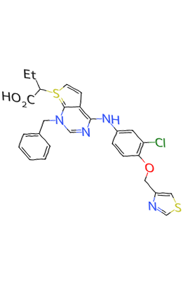 CCC(C(=O)O)S1=C2C(=C(Nc3ccc(OCc4cscn4)c(Cl)c3)N=CN2Cc2ccccc2)C=C1